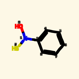 ON(S)c1ccccc1